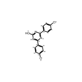 Oc1nc(-c2ccc(Cl)cc2)nc(-c2ccc(Cl)cc2)n1